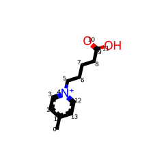 Cc1cc[n+](CCCCC(=O)O)cc1